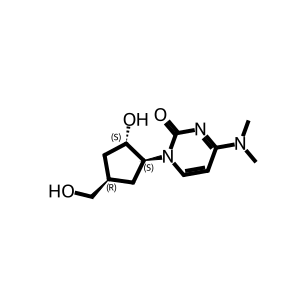 CN(C)c1ccn([C@H]2C[C@@H](CO)C[C@@H]2O)c(=O)n1